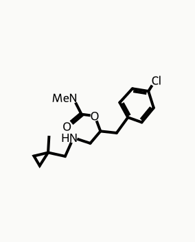 CNC(=O)OC(CNCC1(C)CC1)Cc1ccc(Cl)cc1